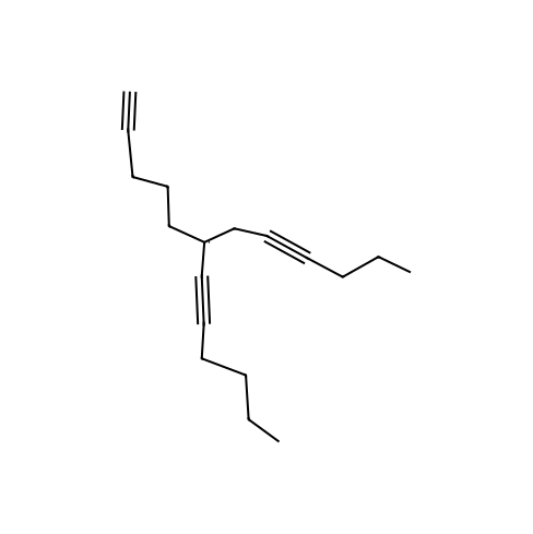 C#CCCC[C](C#CCCCC)CC#CCCC